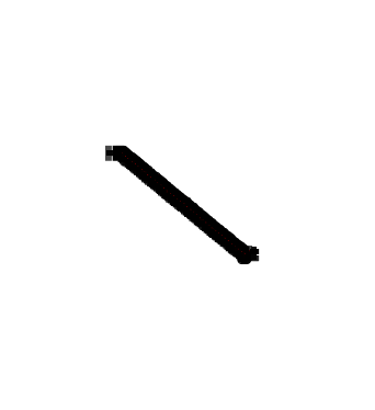 B=BB=BB=BB=BB=BB=BB=BB=BB=BB=BB=BB=BB=BB=BB=BB=BB=BB=BB=BB=BB=BB=BB=BB=BB=BB=BB=BB=BB=BB=BB=BB=BB=BB=BB=BB=BB=BB=BS(=O)CC